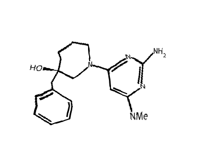 CNc1cc(N2CCC[C@@](O)(c3ccccc3)C2)nc(N)n1